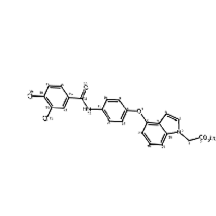 CCOC(=O)Cn1ccc2c(Oc3ccc(NC(=O)c4ccc(Cl)c(Cl)c4)cc3)cccc21